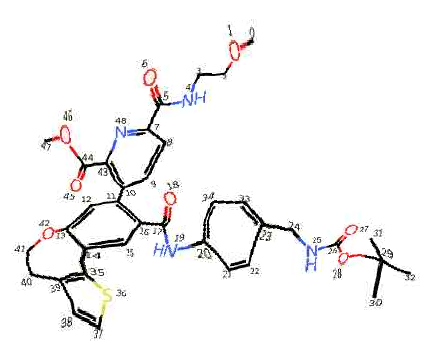 COCCNC(=O)c1ccc(-c2cc3c(cc2C(=O)Nc2ccc(CNC(=O)OC(C)(C)C)cc2)-c2sccc2CCO3)c(C(=O)OC)n1